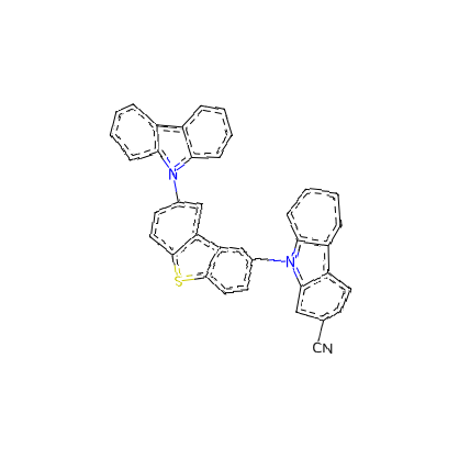 N#Cc1ccc2c3ccccc3n(-c3ccc4sc5ccc(-n6c7ccccc7c7ccccc76)cc5c4c3)c2c1